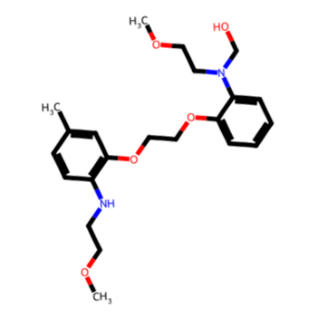 COCCNc1ccc(C)cc1OCCOc1ccccc1N(CO)CCOC